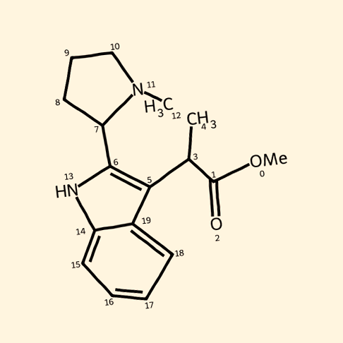 COC(=O)C(C)c1c(C2CCCN2C)[nH]c2ccccc12